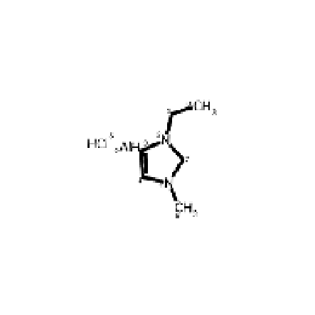 CCN1C=CN(C)C1.Cl.[AlH3]